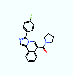 O=C(c1cn2c(-c3ccc(F)cc3)ncc2c2ccccc12)N1CCCC1